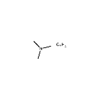 CN(C)C.[GeH4]